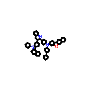 c1ccc(-c2ccc(N(c3ccc(-c4nc5ccccc5cc4-c4ccc5c6c7ccccc7ccc6n(-c6ccccc6)c5c4)cc3)c3ccc4c(c3)oc3cc5ccccc5cc34)cc2)cc1